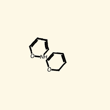 C1=CCOC=C1.C1=CNOC=C1